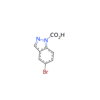 O=C(O)n1ncc2cc(Br)ccc21